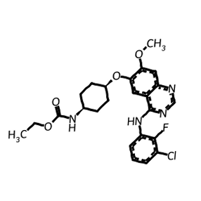 CCOC(=O)N[C@H]1CC[C@@H](Oc2cc3c(Nc4cccc(Cl)c4F)ncnc3cc2OC)CC1